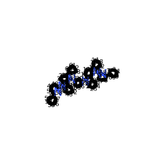 C1=CCCC(c2cccc(-n3c4ccccc4c4ccc5c(c6ccccc6n5C5=CC(n6c7c(c8ccc9c(c%10ccccc%10n9-c9cccc(-c%10ccccc%10)n9)c86)C=CCC7)CC=C5)c43)n2)=C1